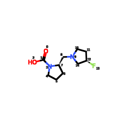 O=C(O)N1CCC[C@H]1CN1CC[C@H](F)C1